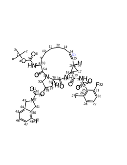 CC(C)(C)OC(=O)N[C@H]1CCCCC/C=C\[C@@H]2C[C@@]2(C(=O)NS(=O)(=O)c2c(F)cccc2F)NC(=O)[C@@H]2C[C@@H](OC(=O)N3Cc4cccc(F)c4C3)CN2C1=O